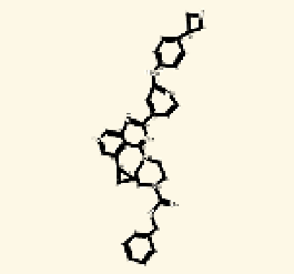 O=C(OCc1ccccc1)N1CCN(c2nc(-c3ccnc(Nc4ccc(C5COC5)cc4)c3)nc3cncc(C4CC4)c23)CC1